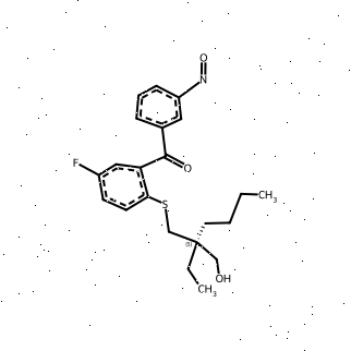 CCCC[C@@](CC)(CO)CSc1ccc(F)cc1C(=O)c1cccc(N=O)c1